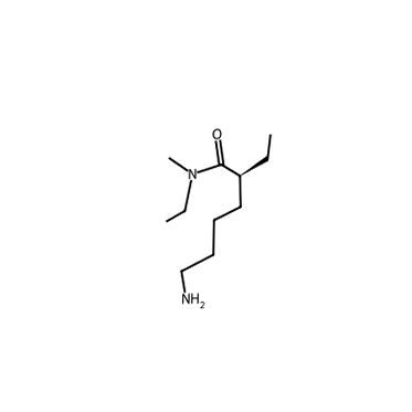 CC[C@@H](CCCCN)C(=O)N(C)CC